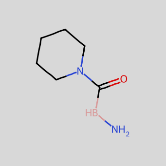 NBC(=O)N1CCCCC1